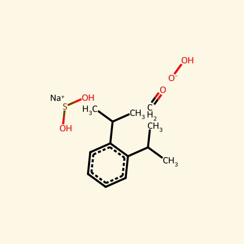 C=O.CC(C)c1ccccc1C(C)C.OSO.[Na+].[O-]O